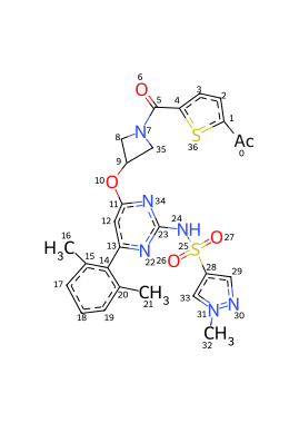 CC(=O)c1ccc(C(=O)N2CC(Oc3cc(-c4c(C)cccc4C)nc(NS(=O)(=O)c4cnn(C)c4)n3)C2)s1